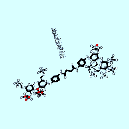 O=C(CCC(=O)Nc1ccc(O[C@@H]2O[C@H](COS(=O)(=O)[O-])[C@@H](O[C@@H]3O[C@H](COS(=O)(=O)[O-])[C@@H](OS(=O)(=O)[O-])[C@H](OS(=O)(=O)[O-])[C@H]3OS(=O)(=O)[O-])[C@H](OS(=O)(=O)[O-])[C@H]2OS(=O)(=O)[O-])cc1)Nc1ccc(O[C@@H]2O[C@H](COS(=O)(=O)[O-])[C@@H](O[C@@H]3O[C@H](COS(=O)(=O)[O-])[C@@H](OS(=O)(=O)[O-])[C@H](OS(=O)(=O)[O-])[C@H]3OS(=O)(=O)[O-])[C@H](OS(=O)(=O)[O-])[C@H]2OS(=O)(=O)[O-])cc1.[Na+].[Na+].[Na+].[Na+].[Na+].[Na+].[Na+].[Na+].[Na+].[Na+].[Na+].[Na+].[Na+].[Na+]